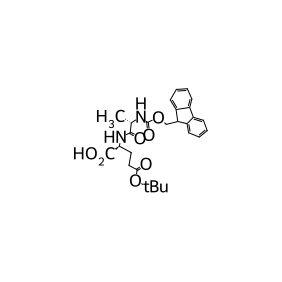 C[C@H](NC(=O)OCC1c2ccccc2-c2ccccc21)C(=O)N[C@@H](CCC(=O)OC(C)(C)C)C(=O)O